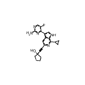 Nc1ncc(F)c(-c2c[nH]c3c(C4CC4)nc(C#CC4(O)CCCC4)cc23)n1